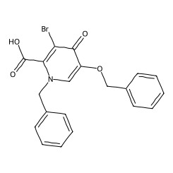 O=C(O)c1c(Br)c(=O)c(OCc2ccccc2)cn1Cc1ccccc1